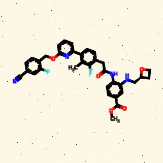 COC(=O)c1ccc(NC(=O)Cc2ccc(-c3cccc(OCc4ccc(C#N)cc4F)n3)c(C)c2F)c(NC[C@@H]2CCO2)c1